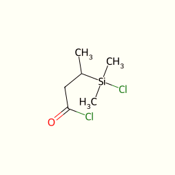 CC(CC(=O)Cl)[Si](C)(C)Cl